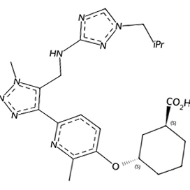 Cc1nc(-c2nnn(C)c2CNc2ncn(CC(C)C)n2)ccc1O[C@H]1CCC[C@H](C(=O)O)C1